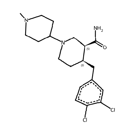 CN1CCC(N2CC[C@H](Cc3ccc(Cl)c(Cl)c3)[C@H](C(N)=O)C2)CC1